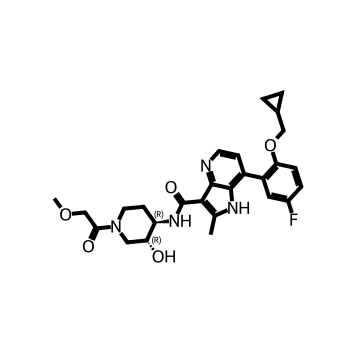 COCC(=O)N1CC[C@@H](NC(=O)c2c(C)[nH]c3c(-c4cc(F)ccc4OCC4CC4)ccnc23)[C@H](O)C1